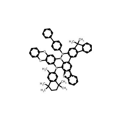 Cc1cc2c(cc1N1c3cc4c(cc3B3c5c(cc6c(sc7ccccc76)c51)-c1cc5c(cc1N3c1ccc(-c3ccccc3)cc1)C(C)(C)c1ccccc1-5)Oc1ccccc1O4)C(C)(C)CCC2(C)C